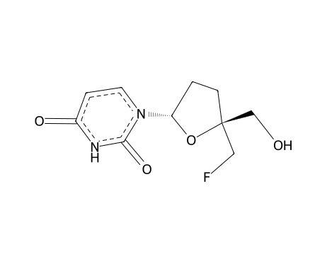 O=c1ccn([C@@H]2CC[C@](CO)(CF)O2)c(=O)[nH]1